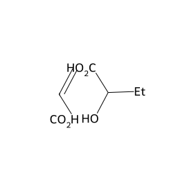 C=CC(=O)O.CCC(O)C(=O)O